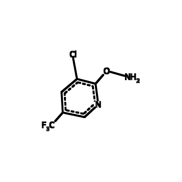 NOc1ncc(C(F)(F)F)cc1Cl